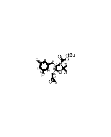 CC(C)(C)OC(=O)N1[C@@H](Cc2cc(F)cc(F)c2)[C@@H](CC2CO2)OC1(C)C